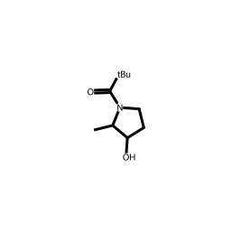 CC1C(O)CCN1C(=O)C(C)(C)C